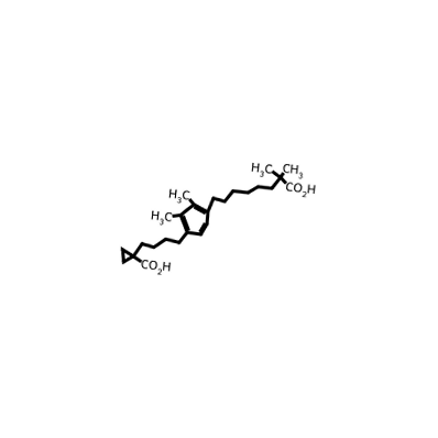 Cc1c(CCCCCCC(C)(C)C(=O)O)ccc(CCCCC2(C(=O)O)CC2)c1C